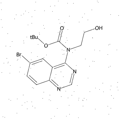 CC(C)(C)OC(=O)N(CCO)c1ncnc2ccc(Br)cc12